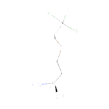 C[C@@H](N)CCSCC(F)(F)F